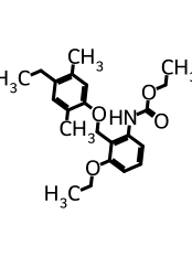 CCOC(=O)Nc1cccc(OCC)c1COc1cc(C)c(CC)cc1C